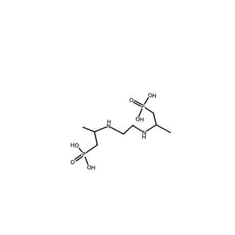 CC(CP(=O)(O)O)NCCNC(C)CP(=O)(O)O